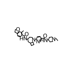 CCN1CCC(NC(=O)c2ccc(N3CCC(NC(=O)c4ccc5c(c4C)OCC5)CC4CCC43)nc2)CC1